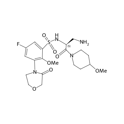 COc1c(N2CCOCC2=O)cc(F)cc1S(=O)(=O)N[C@@H](CN)C(=O)N1CCC(OC)CC1